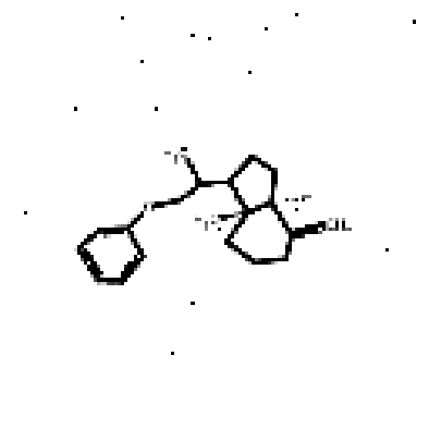 C=C1CCC[C@]2(C)[C@@H](C(C)COc3ccccc3)CC[C@@H]12